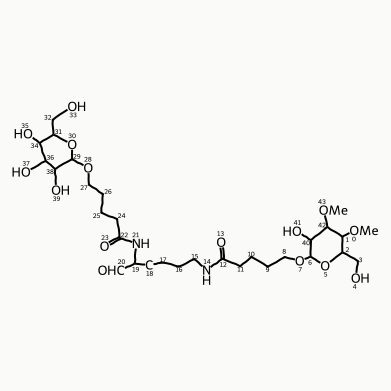 COC1C(CO)OC(OCCCCC(=O)NCCCCC(C=O)NC(=O)CCCCOC2OC(CO)C(O)C(O)C2O)C(O)C1OC